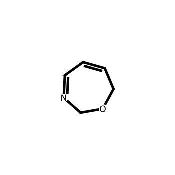 [C]1=NCOCC=C1